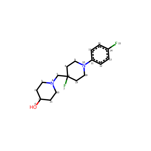 OC1CCN(CC2(F)CCN(c3ccc(F)cc3)CC2)CC1